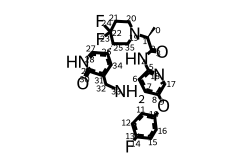 C[C@@H](C(=O)Nc1ccc(Oc2ccc(F)cc2)cn1)N1CCC(F)(F)[C@@H](c2c[nH]c(=O)c(CN)c2)C1